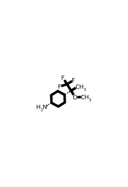 COC(C)([C@H]1CC[C@@H](N)CC1)C(F)(F)F